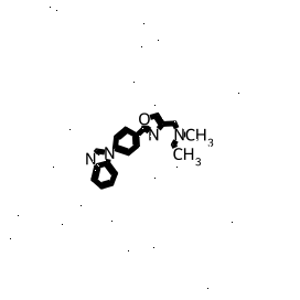 CCN(C)Cc1coc(-c2ccc(-n3cnc4ccccc43)cc2)n1